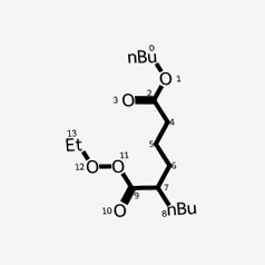 CCCCOC(=O)CCCC(CCCC)C(=O)OOCC